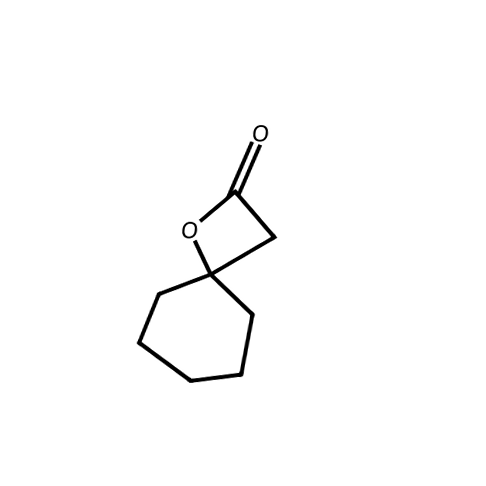 O=C1CC2(CCCCC2)O1